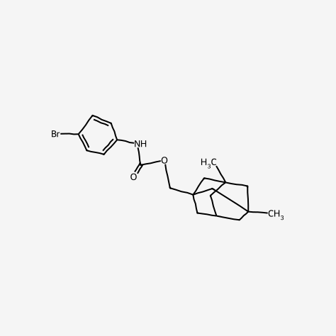 CC12CC3CC(C)(C1)CC(COC(=O)Nc1ccc(Br)cc1)(C3)C2